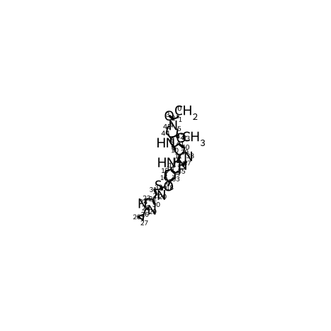 C=CC(=O)N1CCC(Nc2cc3c(Nc4ccc(Oc5nc(-c6cnc(C7CC7)nc6)cs5)cc4F)ncnc3cc2OC)CC1